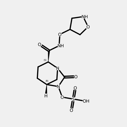 O=C(NOC1CNOC1)[C@@H]1CC[C@@H]2CN1C(=O)N2OS(=O)(=O)O